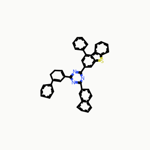 C1=C(c2ccccc2)CCC=C1c1nc(-c2ccc3ccccc3c2)nc(-c2cc(-c3ccccc3)c3c(c2)sc2ccccc23)n1